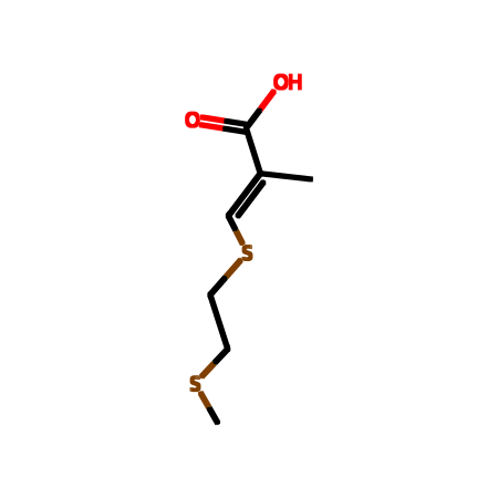 CSCCS/C=C(\C)C(=O)O